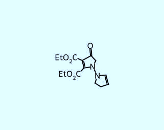 CCOC(=O)C1=C(C(=O)OCC)N(N2C=CCC2)CC1=O